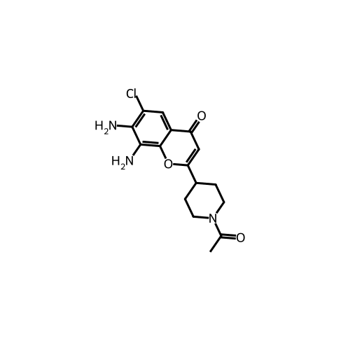 CC(=O)N1CCC(c2cc(=O)c3cc(Cl)c(N)c(N)c3o2)CC1